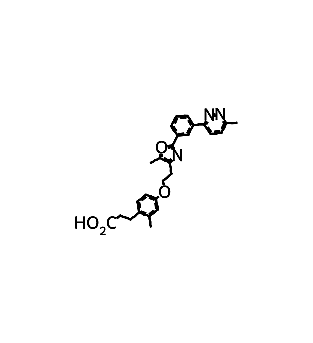 Cc1ccc(-c2cccc(-c3nc(CCOc4ccc(CCC(=O)O)c(C)c4)c(C)o3)c2)nn1